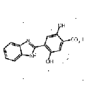 O=C(O)c1cc(O)c(-c2nc3ccccc3[nH]2)cc1O